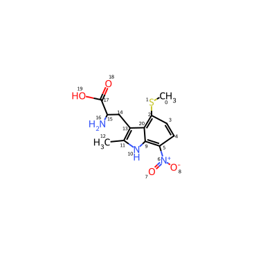 CSc1ccc([N+](=O)[O-])c2[nH]c(C)c(CC(N)C(=O)O)c12